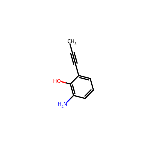 CC#Cc1cccc(N)c1O